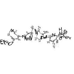 CCOc1cncc(-n2cc(CN3CCN(c4cccc(NS(=O)(=O)C(C)C)n4)CC3)nn2)c1